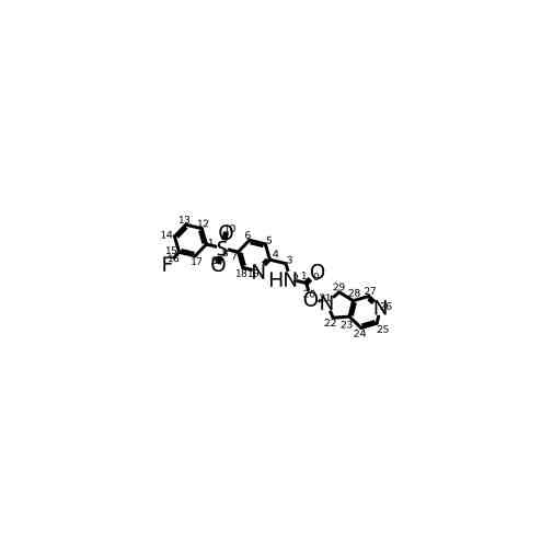 O=C(NCc1ccc(S(=O)(=O)c2cccc(F)c2)cn1)ON1Cc2ccncc2C1